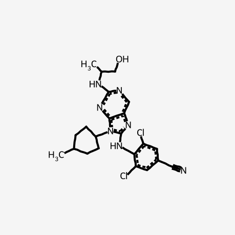 CC1CCC(n2c(Nc3c(Cl)cc(C#N)cc3Cl)nc3cnc(NC(C)CO)nc32)CC1